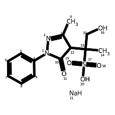 CC1=NN(c2ccccc2)C(=O)C1C(C)(CO)S(=O)(=O)O.[NaH]